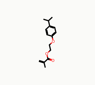 C=C(C)C(=O)OCCOc1ccc(C(C)C)cc1